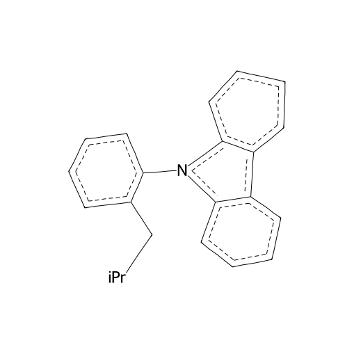 CC(C)Cc1ccccc1-n1c2ccccc2c2ccccc21